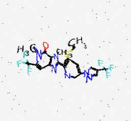 CCSc1cc(-n2cc(C(F)(F)F)cn2)cnc1-c1nc2cc(C(F)(F)F)n(C)c(=O)c2n1C